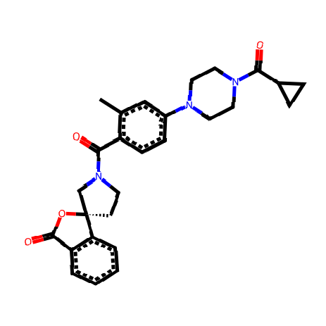 Cc1cc(N2CCN(C(=O)C3CC3)CC2)ccc1C(=O)N1CC[C@@]2(C1)OC(=O)c1ccccc12